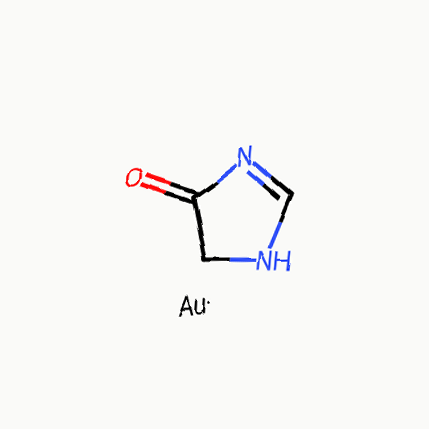 O=C1CNC=N1.[Au]